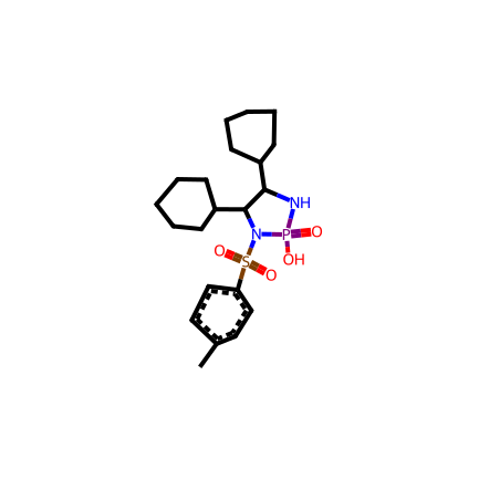 Cc1ccc(S(=O)(=O)N2C(C3CCCCC3)C(C3CCCCC3)NP2(=O)O)cc1